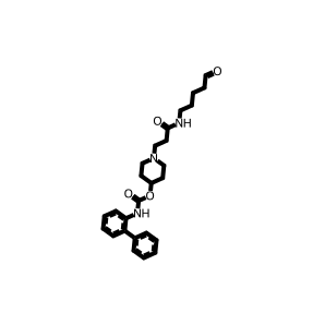 O=CCCCCNC(=O)CCN1CCC(OC(=O)Nc2ccccc2-c2ccccc2)CC1